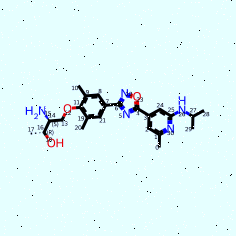 Cc1cc(-c2nc(-c3cc(C)c(OC[C@H](N)[C@@H](C)O)c(C)c3)no2)cc(NC(C)C)n1